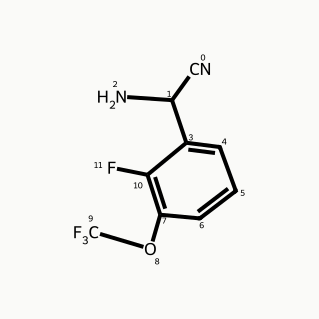 N#CC(N)c1cccc(OC(F)(F)F)c1F